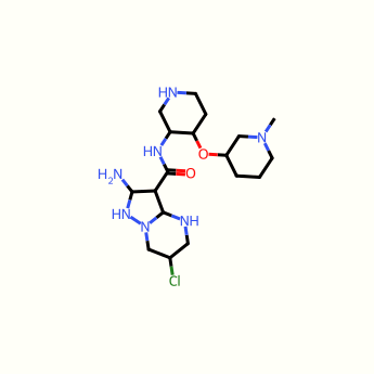 CN1CCCC(OC2CCNCC2NC(=O)C2C(N)NN3CC(Cl)CNC23)C1